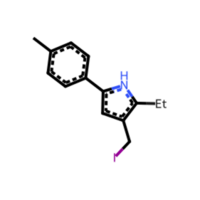 CCc1[nH]c(-c2ccc(C)cc2)cc1CI